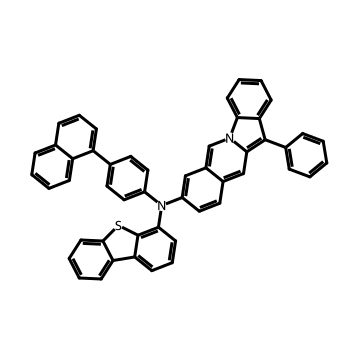 c1ccc(-c2c3ccccc3n3cc4cc(N(c5ccc(-c6cccc7ccccc67)cc5)c5cccc6c5sc5ccccc56)ccc4cc23)cc1